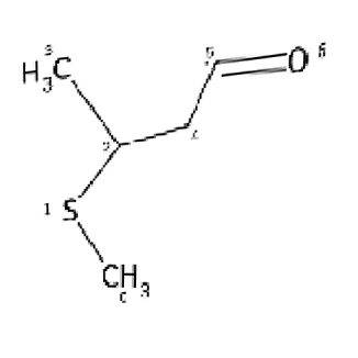 CSC(C)C[C]=O